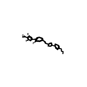 CCCCc1ccc(-c2ccc(CCc3ccc(-c4cc(F)c(C5CO5)c(F)c4)c(F)c3)cc2)cc1